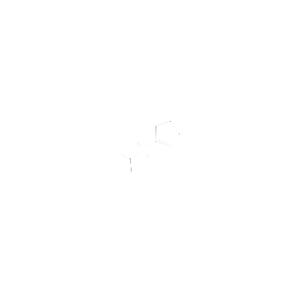 CC(C)S(=O)(=O)C1=CCCC1